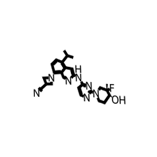 CC(C)c1ccc(N2CC(C#N)C2)c2cnc(Nc3ccnc(N4CC[C@@H](O)[C@@](C)(F)C4)n3)cc12